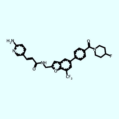 Nc1ccc(C=CC(=O)NCc2cc3cc(-c4ccc(C(=O)N5CCC(F)CC5)cc4)cc(C(F)(F)F)c3o2)cn1